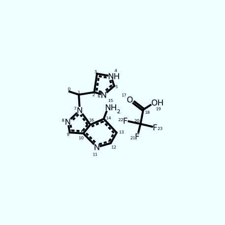 CC(c1c[nH]cn1)n1ncc2nccc(N)c21.O=C(O)C(F)(F)F